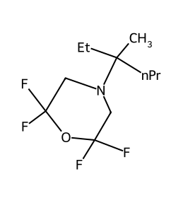 CCCC(C)(CC)N1CC(F)(F)OC(F)(F)C1